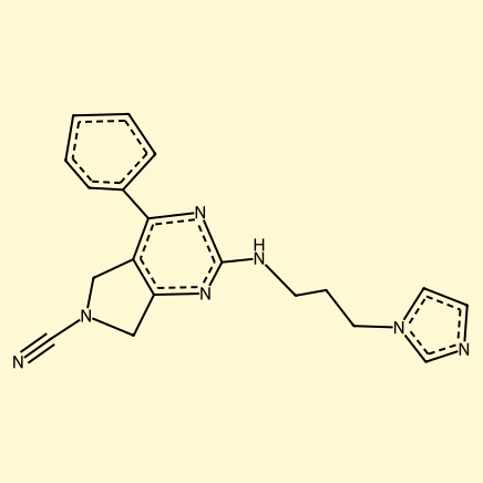 N#CN1Cc2nc(NCCCn3ccnc3)nc(-c3ccccc3)c2C1